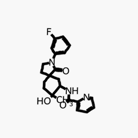 CC1(O)CCC2(CCN(c3cccc(F)c3)C2=O)CC1NC(=O)c1ccccn1